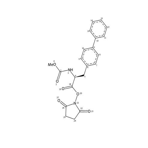 COC(=O)N[C@@H](Cc1ccc(-c2ccccc2)cc1)C(=O)ON1C(=O)CCC1=O